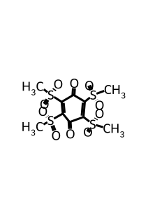 CS(=O)(=O)C1=C(S(C)(=O)=O)C(=O)C(S(C)(=O)=O)=C(S(C)(=O)=O)C1=O